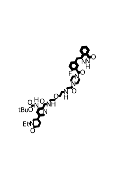 CCN1CC(c2cnc(C(=O)NCCOCCNCC(=O)N3CCN(C(=O)c4cc(Cc5n[nH]c(=O)c6ccccc56)ccc4F)CC3)c(NC(=O)OC(C)(C)C)c2)CCC1=O